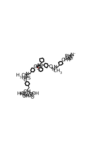 CN(COc1ccc(P(=N[PH](=S)Oc2ccc(C=NN(C)[PH](=S)Oc3ccc(CCN(CP(=O)(O)O)C[PH](O)(O)O)cc3)cc2)(c2ccccc2)c2ccccc2)cc1)N=Cc1ccc(OPP(P)N=[N+]=[N-])cc1